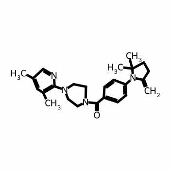 C=C1CCC(C)(C)N1c1ccc(C(=O)N2CCN(c3ncc(C)cc3C)CC2)cc1